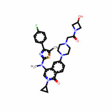 CN(c1nc(-c2ccc(F)cc2)c(C#N)s1)c1cn(C2CC2)c(=O)c2ccc(N3CCN(CC(=O)N4CC(O)C4)CC3)cc12